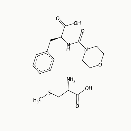 CSC[C@H](N)C(=O)O.O=C(O)[C@H](Cc1ccccc1)NC(=O)N1CCOCC1